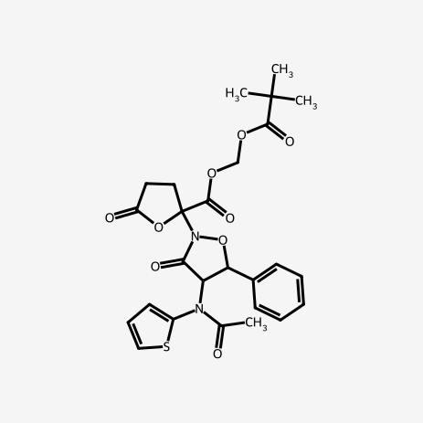 CC(=O)N(c1cccs1)C1C(=O)N(C2(C(=O)OCOC(=O)C(C)(C)C)CCC(=O)O2)OC1c1ccccc1